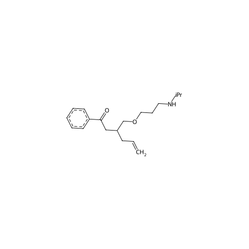 C=CCC(COCCCNC(C)C)CC(=O)c1ccccc1